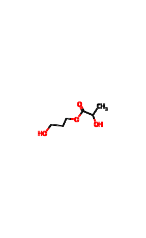 CC(O)C(=O)OCCCO